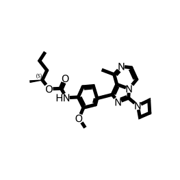 CCC[C@H](C)OC(=O)Nc1ccc(-c2nc(N3CCC3)n3ccnc(C)c23)cc1OC